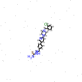 NC(=S)NN=Cc1ccc(-c2ccc(N3CCN(Cc4ccccc4Cl)CC3)nc2)cc1